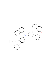 CC1(C)c2ccccc2-c2ccc(N(c3cccc(-c4cccc5ccc6oc7ccccc7c6c45)c3)c3cccc4ccccc34)cc21